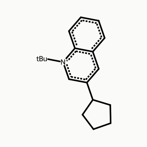 CC(C)(C)[n+]1cc(C2CCCC2)cc2ccccc21